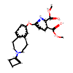 COC(=O)c1ccc(Oc2ccc3c(c2)CCN(C2CCC2)CC3)nc1C(=O)OC